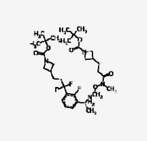 CON(C)C(=O)CCC1CN(C(=O)OC(C)(C)C)C1.C[C@@H](N)c1cccc(C(F)(F)CCC2CN(C(=O)OC(C)(C)C)C2)c1F